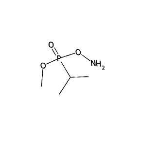 COP(=O)(ON)C(C)C